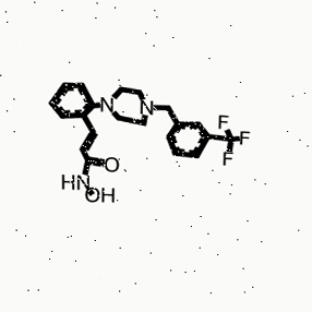 O=C(C=Cc1ccccc1N1CCN(Cc2cccc(C(F)(F)F)c2)CC1)NO